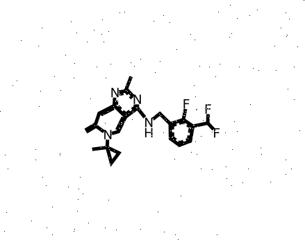 C=C1C=c2nc(C)nc(NCc3cccc(C(F)F)c3F)c2=CN1C1(C)CC1